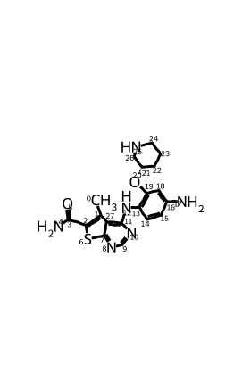 Cc1c(C(N)=O)sc2ncnc(Nc3ccc(N)cc3O[C@H]3CCCNC3)c12